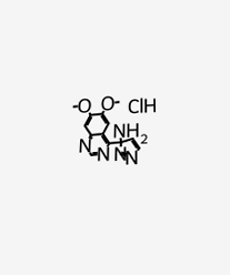 COc1cc2ncnc(C3(N)C=CN=N3)c2cc1OC.Cl